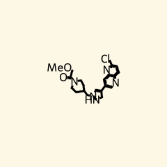 COCC(=O)N1CCC(CN2C=C(c3cnc4ccc(Cl)nc4c3)CN2)CC1